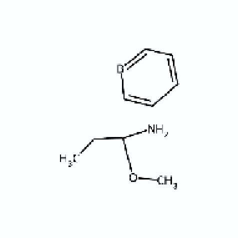 CCC(N)OC.b1ccccc1